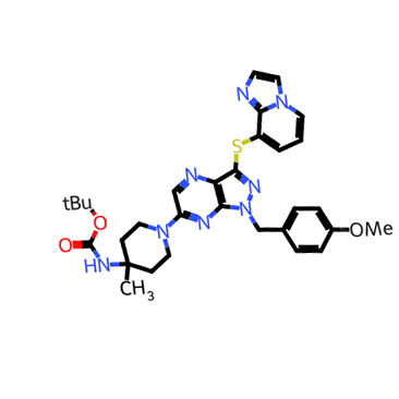 COc1ccc(Cn2nc(Sc3cccn4ccnc34)c3ncc(N4CCC(C)(NC(=O)OC(C)(C)C)CC4)nc32)cc1